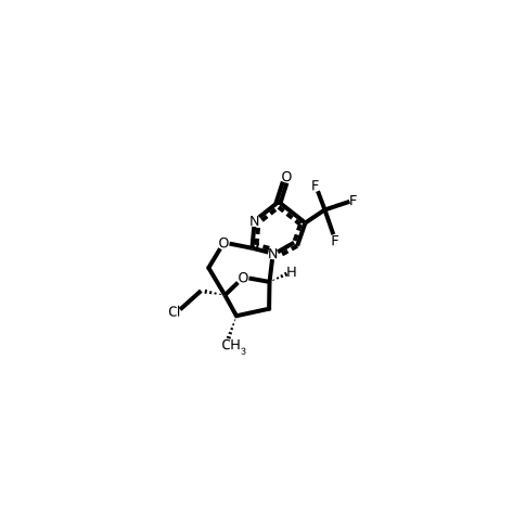 C[C@H]1C[C@H]2O[C@]1(CCl)COc1nc(=O)c(C(F)(F)F)cn12